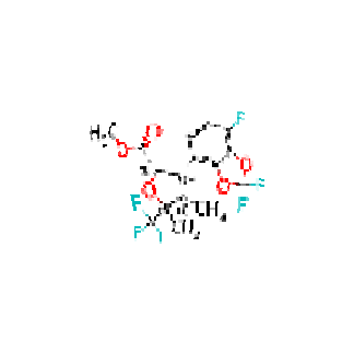 COC(=O)[C@H]1O[C@@](C)(C(F)(F)F)[C@@H](C)[C@H]1c1ccc(F)c2c1OC(F)(F)O2